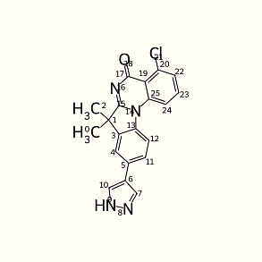 CC1(C)c2cc(-c3cn[nH]c3)ccc2-n2c1nc(=O)c1c(Cl)cccc12